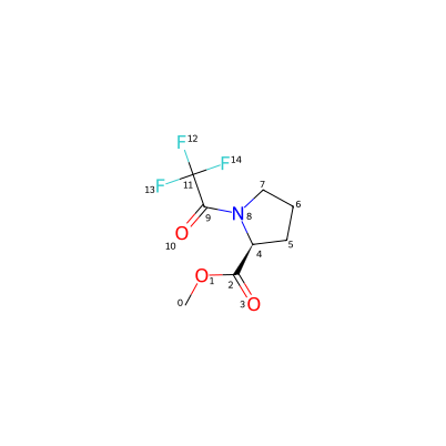 COC(=O)[C@@H]1CCCN1C(=O)C(F)(F)F